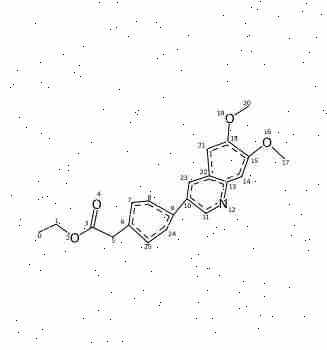 CCOC(=O)Cc1ccc(-c2cnc3cc(OC)c(OC)cc3c2)cc1